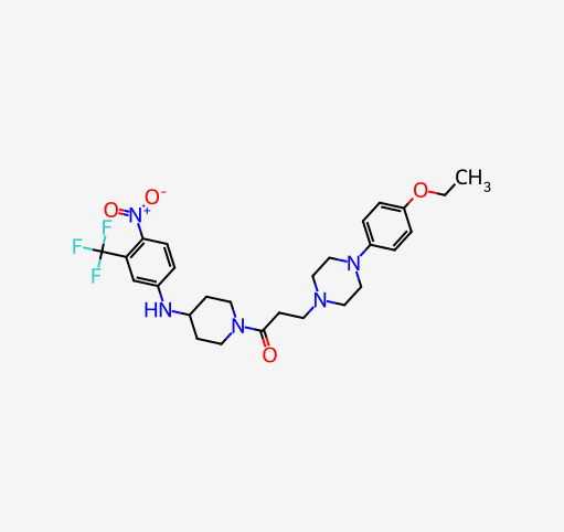 CCOc1ccc(N2CCN(CCC(=O)N3CCC(Nc4ccc([N+](=O)[O-])c(C(F)(F)F)c4)CC3)CC2)cc1